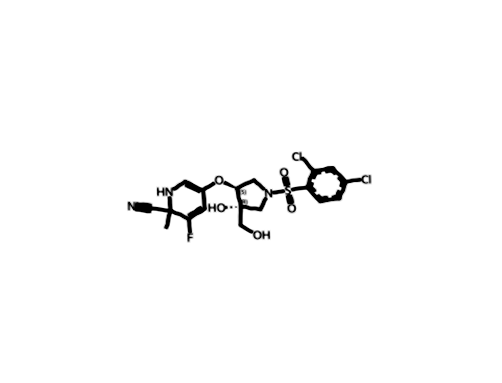 CC1(C#N)NC=C(O[C@H]2CN(S(=O)(=O)c3ccc(Cl)cc3Cl)C[C@@]2(O)CO)C=C1F